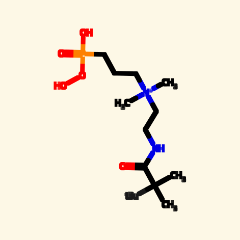 CC(C)(C)C(C)(C)C(=O)NCC[N+](C)(C)CCCP(=O)(O)OO